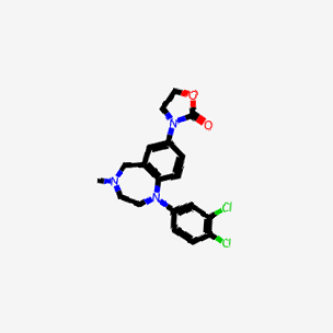 CN1CCN(c2ccc(Cl)c(Cl)c2)c2ccc(N3CCOC3=O)cc2C1